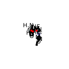 C#CCOc1cnc(/C(F)=C/c2cnc(F)c([C@@]3(C)N=C(N)S[C@@]4(C(=O)N5[C@H]6COC[C@H]5COC6)C[C@H]43)c2)cn1